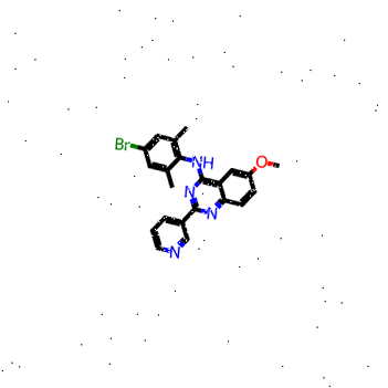 COc1ccc2nc(-c3cccnc3)nc(Nc3c(C)cc(Br)cc3C)c2c1